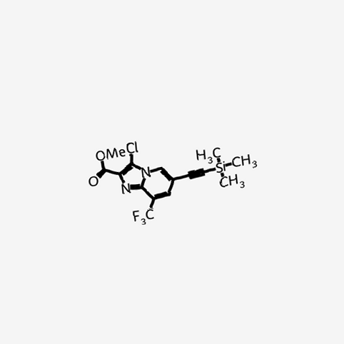 COC(=O)c1nc2c(C(F)(F)F)cc(C#C[Si](C)(C)C)cn2c1Cl